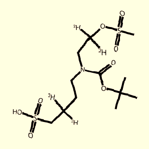 [2H]C([2H])(CCN(CC([2H])([2H])OS(C)(=O)=O)C(=O)OC(C)(C)C)CS(=O)(=O)O